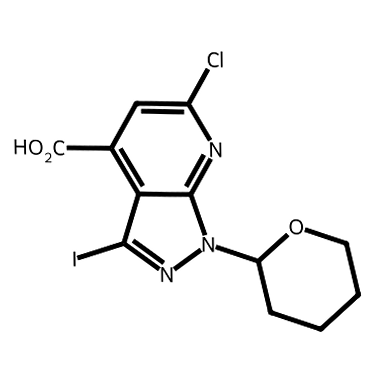 O=C(O)c1cc(Cl)nc2c1c(I)nn2C1CCCCO1